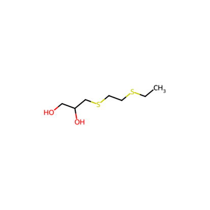 CCSCCSCC(O)CO